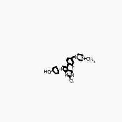 CN1CCN(Cc2ccc(-c3cn([C@H]4CC[C@H](O)CC4)c4nc(Cl)ncc34)c(F)c2)CC1